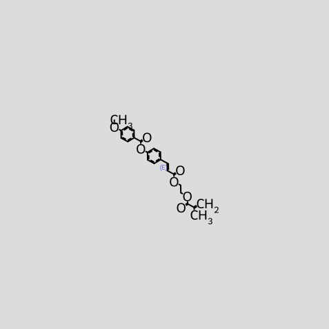 C=C(C)C(=O)OCCOC(=O)/C=C/c1ccc(OC(=O)c2ccc(OC)cc2)cc1